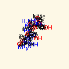 CNCC(=O)NC1(C(=O)N[C@@H](Cc2ccc(O)cc2)C(=O)N[C@@H](CC(N)=O)C(=O)N[C@@H](CC(C)C)C(=O)N[C@@H](Cc2ccc(O)cc2)C(=O)N[C@@H](CCCNC(=N)N)C(=O)N[C@H](C(=O)N2CCC[C@H]2C(=O)CC(N)=O)C(C)C)C(=O)CCCC1=O